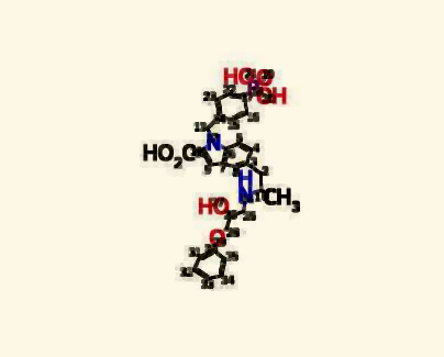 C[C@H](Cc1ccc2c(c1)cc(C(=O)O)n2Cc1ccc(P(=O)(O)O)cc1)NC[C@H](O)COc1ccccc1